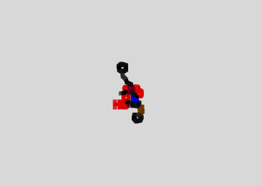 CCOP(=O)(CCCCc1ccccc1)CC(=O)N1CC(Sc2ccccc2)C[C@H]1C(=O)O